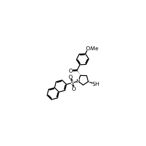 COc1ccc(C(=O)[C@@H]2C[C@@H](S)CN2S(=O)(=O)c2ccc3ccccc3c2)cc1